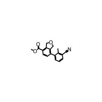 COC(=O)c1ccc(-c2cccc(C#N)c2C)c2c1COC2